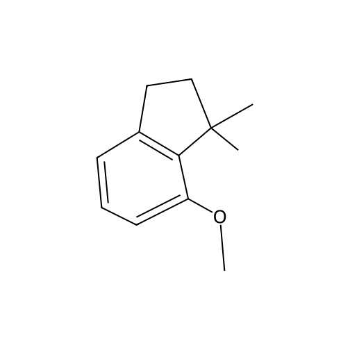 COc1cccc2c1C(C)(C)CC2